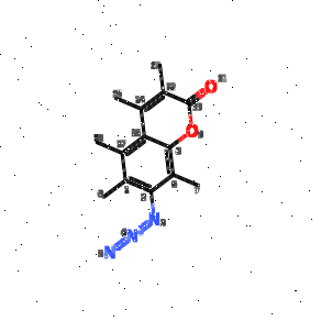 Cc1c(N=[N+]=[N-])c(C)c2oc(=O)c(C)c(C)c2c1C